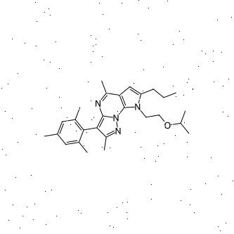 CCCc1cc2c(C)nc3c(-c4c(C)cc(C)cc4C)c(C)nn3c2n1CCOC(C)C